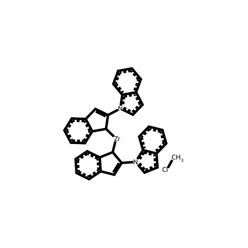 C1=C(n2ccc3ccccc32)[CH]([Zr][CH]2C(n3ccc4ccccc43)=Cc3ccccc32)c2ccccc21.CCl